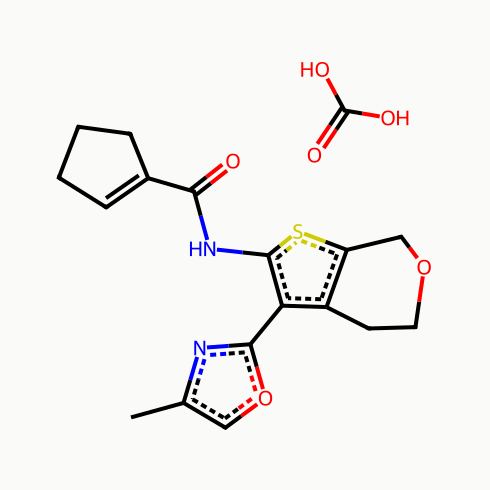 Cc1coc(-c2c(NC(=O)C3=CCCC3)sc3c2CCOC3)n1.O=C(O)O